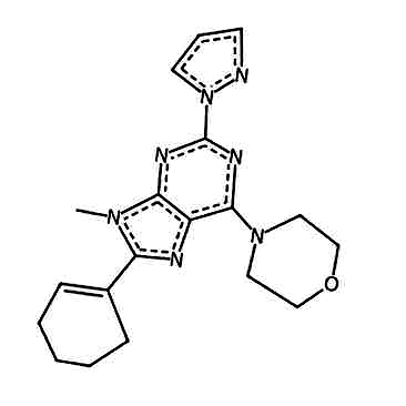 Cn1c(C2=CCCCC2)nc2c(N3CCOCC3)nc(-n3cccn3)nc21